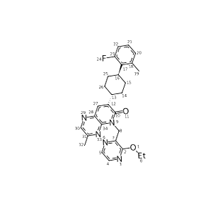 CCOc1nccnc1Cn1c(=O)c([C@H]2CC[C@H](c3c(C)cccc3F)CC2)cc2ncc(C)nc21